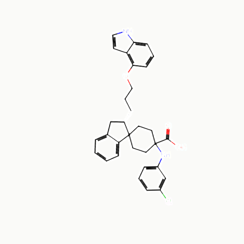 O=C(O)C1(Nc2cccc(Cl)c2)CCC2(CC1)c1ccccc1C[C@@H]2CCCOc1cccc2[nH]ccc12